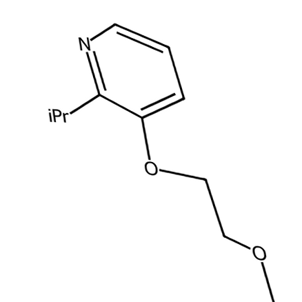 CC(C)c1ncccc1OCCOC(C)(C)C